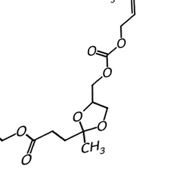 CCOC(=O)CCC1(C)OCC(COC(=O)OCC=C(C)C)O1